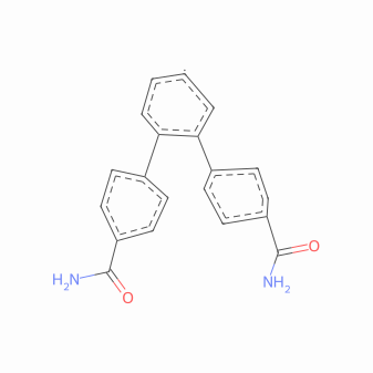 NC(=O)c1ccc(-c2c[c]ccc2-c2ccc(C(N)=O)cc2)cc1